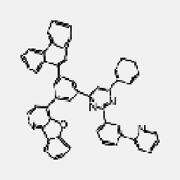 C1=CC(c2cc(-c3cc(-c4cc5ccccc5c5ccccc45)cc(-c4ccnc5c4oc4ccccc45)c3)nc(-c3cccc(-c4ccccn4)c3)n2)=CCC1